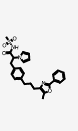 Cc1oc(-c2ccccc2)nc1CCCc1ccc(CC(C(=O)NS(C)(=O)=O)n2cccc2)cc1